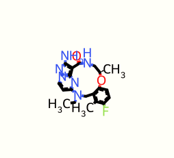 CCN1Cc2c(ccc(F)c2C)O[C@@H](C)CNC(=O)c2c(N)nn3ccc1nc23